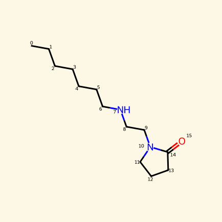 CCCCCCCNCCN1CCCC1=O